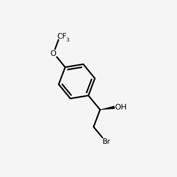 O[C@@H](CBr)c1ccc(OC(F)(F)F)cc1